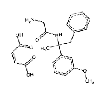 COc1cccc(C(C)(Cc2ccccc2)NC(=O)CN)c1.O=C(O)/C=C\C(=O)O